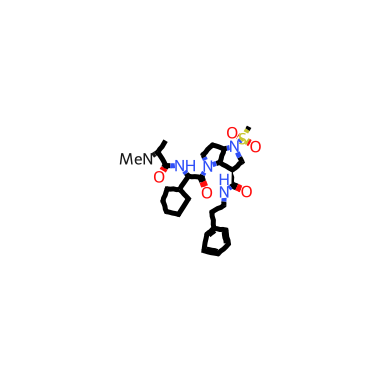 CNC(C)C(=O)NC(C(=O)N1CCC2C1[C@H](C(=O)NCCc1ccccc1)CN2S(C)(=O)=O)C1CCCCC1